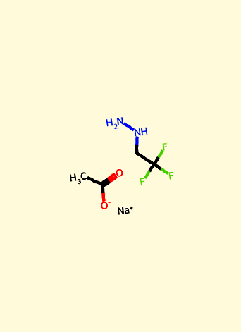 CC(=O)[O-].NNCC(F)(F)F.[Na+]